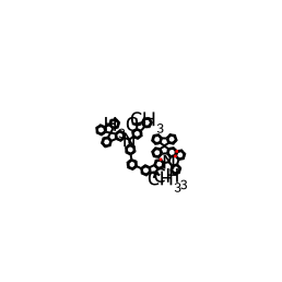 CC1(C)c2ccccc2-c2ccc(N(c3ccc(-c4cccc(-c5ccc6c(c5)-c5ccc(N(c7ccccc7-c7ccccc7)c7cccc8c7-c7ccccc7C87c8ccccc8-c8ccccc87)cc5C6(C)C)c4)cc3)c3ccc4c(c3)-c3ccccc3C43c4ccccc4-c4ccccc43)cc21